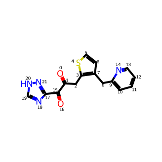 O=C(Cc1sccc1Cc1ccccn1)C(=O)c1nc[nH]n1